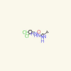 O=C(NCc1ccc(Cl)c(Cl)c1)Nc1cc(C2CC2)n[nH]1